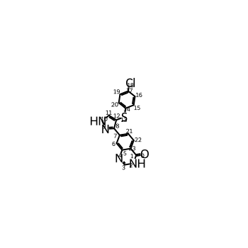 O=c1[nH]cnc2cc(-c3n[nH]cc3Sc3ccc(Cl)cc3)ccc12